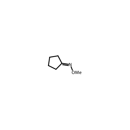 CON=C1CCCC1